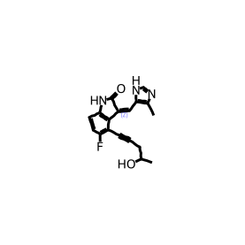 Cc1nc[nH]c1/C=C1\C(=O)Nc2ccc(F)c(C#CCC(C)O)c21